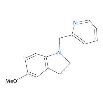 COc1ccc2c(c1)CCN2Cc1ccccn1